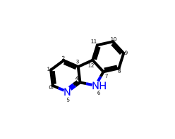 [c]1ccc2c(n1)[nH]c1ccccc12